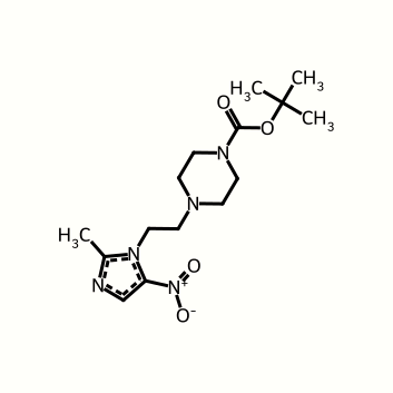 Cc1ncc([N+](=O)[O-])n1CCN1CCN(C(=O)OC(C)(C)C)CC1